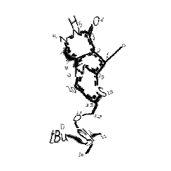 Cc1c2c(=O)[nH]ncc2n2cc(CO[Si](C)(C)C(C)(C)C)sc12